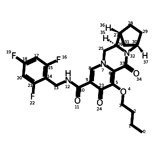 CCCCOc1c2n(cc(C(=O)NCc3c(F)cc(F)cc3F)c1=O)C[C@H]1[C@@H]3CC[C@@H](C3)N1C2=O